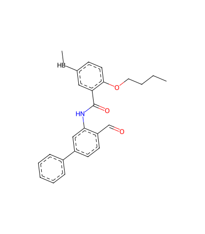 CBc1ccc(OCCCC)c(C(=O)Nc2cc(-c3ccccc3)ccc2C=O)c1